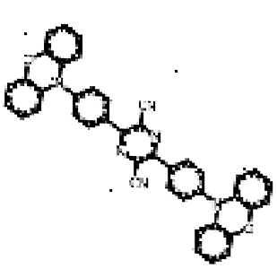 N#Cc1nc(-c2ccc(N3c4ccccc4Oc4ccccc43)cc2)c(C#N)nc1-c1ccc(N2c3ccccc3Oc3ccccc32)cc1